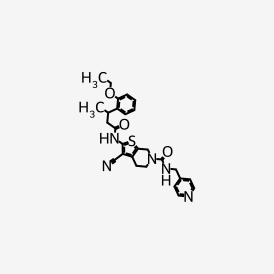 CCOc1ccccc1C(C)CC(=O)Nc1sc2c(c1C#N)CCN(C(=O)NCc1ccncc1)C2